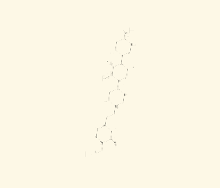 CCC1CCC(CCC2CCC(C3CCC(C4CCC(C)CC4)C(F)C3F)CC2)CC1F